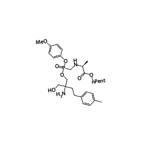 CCCCCOC(=O)[C@H](C)NCP(=O)(OCC(N)(CO)CCc1ccc(C)cc1)Oc1ccc(OC)cc1